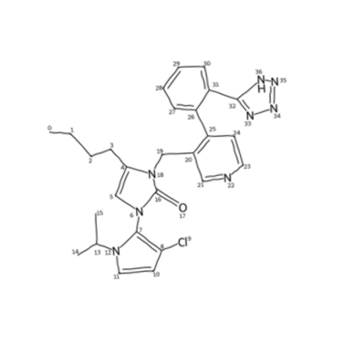 CCCCc1cn(-c2c(Cl)ccn2C(C)C)c(=O)n1Cc1cnccc1-c1ccccc1-c1nnn[nH]1